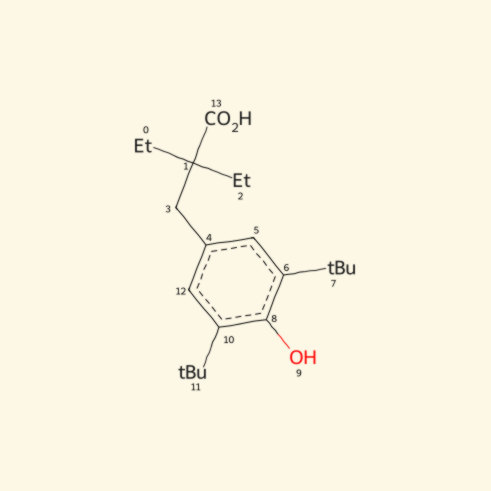 CCC(CC)(Cc1cc(C(C)(C)C)c(O)c(C(C)(C)C)c1)C(=O)O